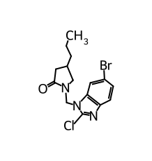 CCCC1CC(=O)N(Cn2c(Cl)nc3ccc(Br)cc32)C1